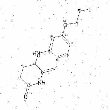 C=C1NC(=O)CCC1Nc1cccc(OCCC)c1